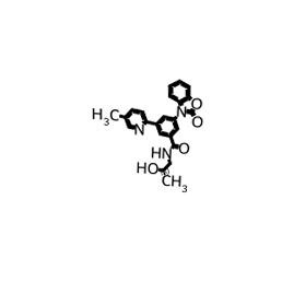 Cc1ccc(-c2cc(C(=O)NC[C@H](C)O)cc(-n3c(=O)oc4ccccc43)c2)nc1